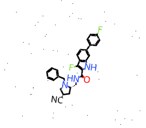 N#C[C@H]1C[C@@H](CNC(=O)c2[nH]c3cc(-c4ccc(F)cc4)ccc3c2F)N(Cc2ccccc2)C1